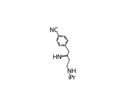 CC(C)NCCC(=N)Cc1ccc(C#N)cc1